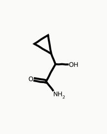 NC(=O)C(O)C1CC1